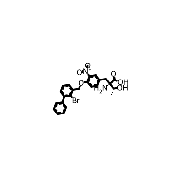 C[C@@H](O)[C@@](N)(Cc1ccc(OCc2cccc(-c3ccccc3)c2Br)c([N+](=O)[O-])c1)C(=O)O